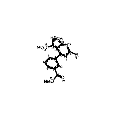 CCc1nc(-c2cccc(C(=O)OC)c2)c2c(C(=O)O)c[nH]c2n1